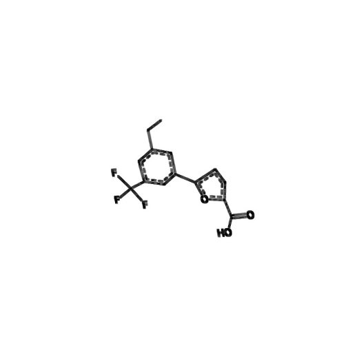 CCc1cc(-c2ccc(C(=O)O)o2)cc(C(F)(F)F)c1